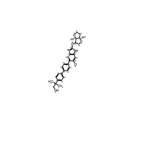 CC(C)(CO)c1ccc(-c2ccc(-c3nc4nc(OC5CO[C@@H]6CCO[C@H]56)[nH]c4cc3Cl)cc2)cc1